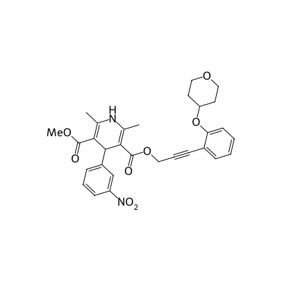 COC(=O)C1=C(C)NC(C)=C(C(=O)OCC#Cc2ccccc2OC2CCOCC2)C1c1cccc([N+](=O)[O-])c1